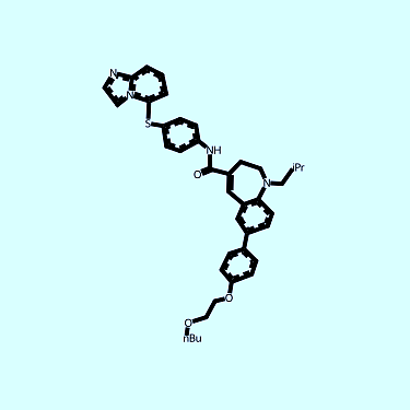 CCCCOCCOc1ccc(-c2ccc3c(c2)C=C(C(=O)Nc2ccc(Sc4cccc5nccn45)cc2)CCN3CC(C)C)cc1